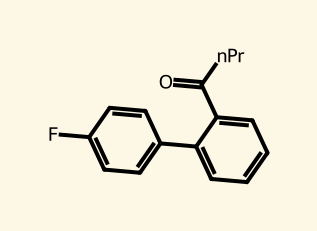 CCCC(=O)c1ccccc1-c1ccc(F)cc1